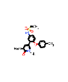 C=CS(=O)(=O)Nc1ccc(Oc2ccc(C)cc2)c(-c2cc(NC)c(=O)n(C)c2)c1